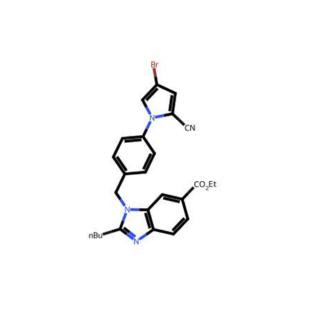 CCCCc1nc2ccc(C(=O)OCC)cc2n1Cc1ccc(-n2cc(Br)cc2C#N)cc1